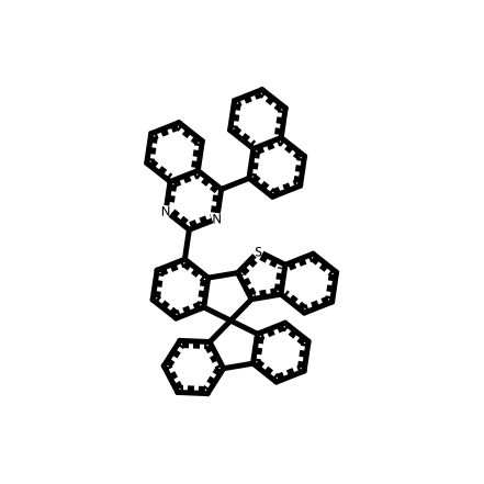 c1ccc2c(c1)-c1ccccc1C21c2cccc(-c3nc(-c4cccc5ccccc45)c4ccccc4n3)c2-c2sc3ccccc3c21